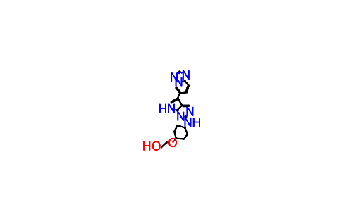 OCCO[C@H]1CC[C@@H](Nc2ncc3c(-c4ccc5ncnn5c4)c[nH]c3n2)CC1